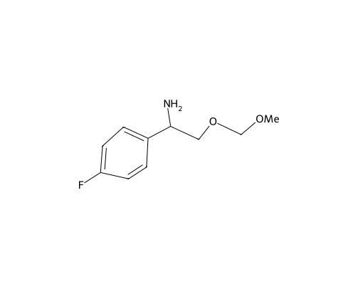 COCOCC(N)c1ccc(F)cc1